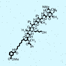 CC[C@H](NC(=O)C(C[C@H](C)CCCCCCNC(=O)c1cccc(C(=O)OC)c1)N(C)C(=O)CC(C)C)C(=O)N(C)[C@H](CSCCCCO)C(=O)N(C)[C@@H](CC(C)C)C(=O)N[C@H](C(=O)N(C)[C@@H](CC(C)C)C(=O)N[C@@H](C)C(=O)NC(=O)N(C)[C@@H](CC(C)C)C(=O)N(C)C(=O)NC)C(C)C